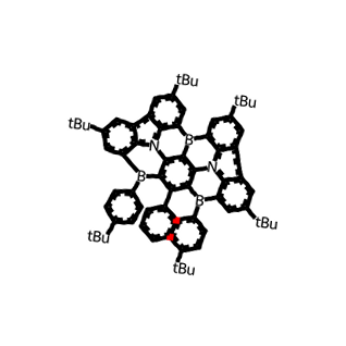 CC(C)(C)c1ccc(B2c3c(-c4ccccc4)c4c5c6c3-n3c7c2cc(C(C)(C)C)cc7c2cc(C(C)(C)C)cc(c23)B6c2cc(C(C)(C)C)cc3c6cc(C(C)(C)C)cc(c6n-5c23)B4c2ccc(C(C)(C)C)cc2)cc1